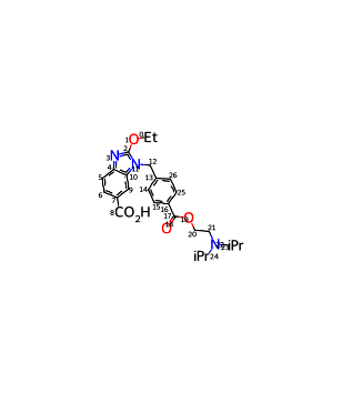 CCOc1nc2ccc(C(=O)O)cc2n1Cc1ccc(C(=O)OCCN(C(C)C)C(C)C)cc1